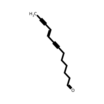 CC#CC=CC#CCCCCCC=O